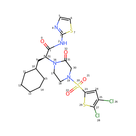 O=C(Nc1nccs1)[C@H](CC1CCCCC1)N1CCN(S(=O)(=O)c2cc(Cl)c(Cl)s2)CC1=O